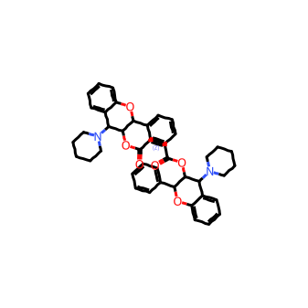 O=C(/C=C\C(=O)OC1C(c2ccccc2)Oc2ccccc2C1N1CCCCC1)OC1C(c2ccccc2)Oc2ccccc2C1N1CCCCC1